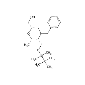 C[C@@H]1O[C@H](CO)CN(Cc2ccccc2)[C@@H]1CO[Si](C)(C)C(C)(C)C